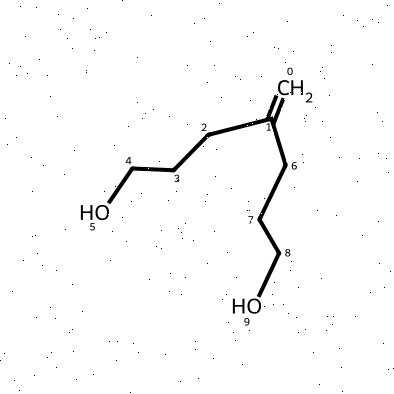 C=C(CCCO)CCCO